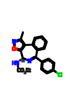 CCOC(=O)N[C@H]1N=C(c2ccc(Cl)cc2)c2ccccc2-c2c(C)noc21